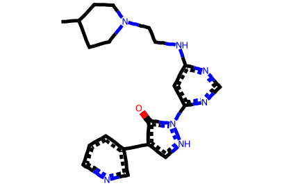 CC1CCN(CCNc2cc(-n3[nH]cc(-c4cccnc4)c3=O)ncn2)CC1